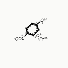 O=C([O-])c1ccc(O)cc1.[Fe+3].[O-2]